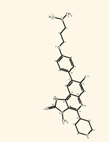 CN(C)CCCOc1ccc(-c2cc3c(cc2F)nc(C2CCOCC2)c2c3[nH]c(=O)n2C)cc1